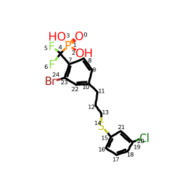 O=P(O)(O)C(F)(F)c1ccc(CCCSc2cccc(Cl)c2)cc1Br